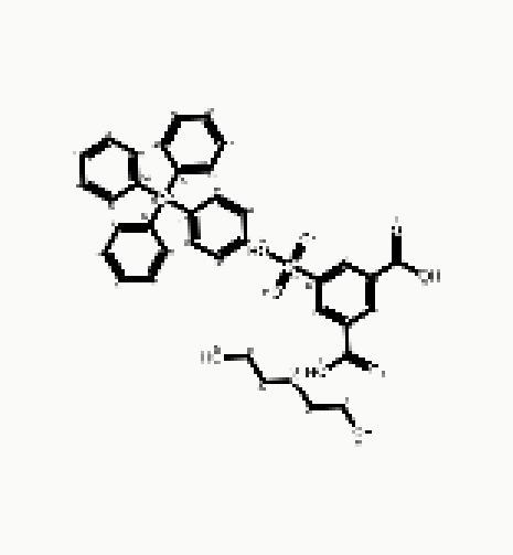 O=C(O)c1cc(C(=O)O)cc(S(=O)(=O)O)c1.OCCOCCO.c1ccc([N+](c2ccccc2)(c2ccccc2)c2ccccc2)cc1